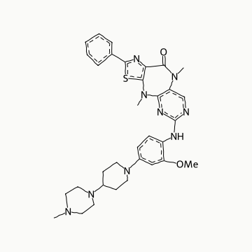 COc1cc(N2CCC(N3CCN(C)CC3)CC2)ccc1Nc1ncc2c(n1)N(C)c1sc(-c3ccccc3)nc1C(=O)N2C